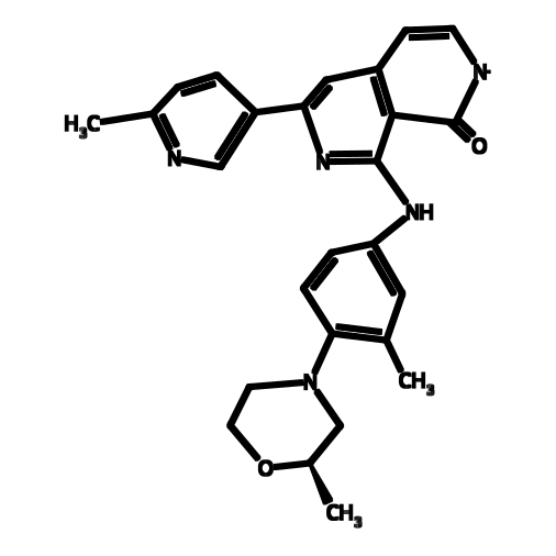 Cc1ccc(-c2cc3c(c(Nc4ccc(N5CCO[C@H](C)C5)c(C)c4)n2)C(=O)[N]C=C3)cn1